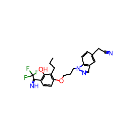 CCCc1c(OCCCn2ncc3cc(CC#N)ccc32)ccc(C(=N)C(F)(F)F)c1O